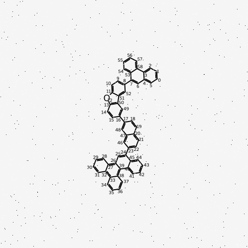 c1ccc2c(c1)cc(-c1ccc3oc4ccc(-c5ccc6ccc(-c7cc8c9ccccc9c9ccccc9c8c8ccccc78)cc6c5)cc4c3c1)c1ccccc12